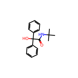 CC(C)(C)NC(=O)C(O)(c1ccccc1)c1ccccc1